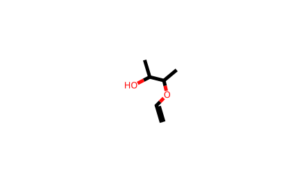 C=COC(C)C(C)O